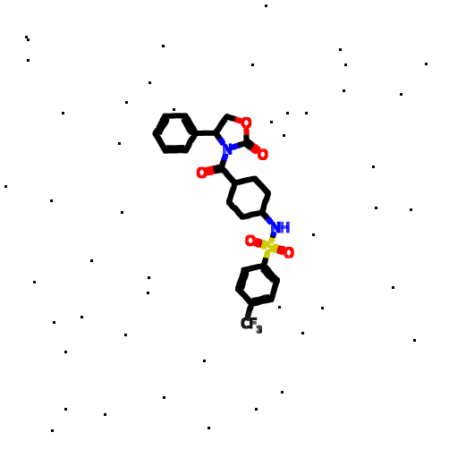 O=C1OCC(c2ccccc2)N1C(=O)C1CCC(NS(=O)(=O)c2ccc(C(F)(F)F)cc2)CC1